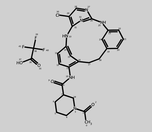 CC(=O)N1CCCC(C(=O)Nc2ccc3cc2CCc2cccc(c2)Nc2ncc(Cl)c(n2)N3)C1.O=C(O)C(F)(F)F